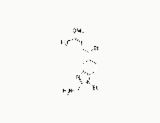 CCC(C/C=C(\C)OC)C1CCc2c(nc(CN)n2CC)C1